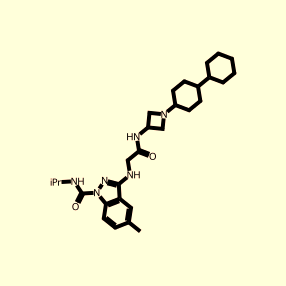 Cc1ccc2c(c1)c(NCC(=O)NC1CN(C3CCC(C4CCCCC4)CC3)C1)nn2C(=O)NC(C)C